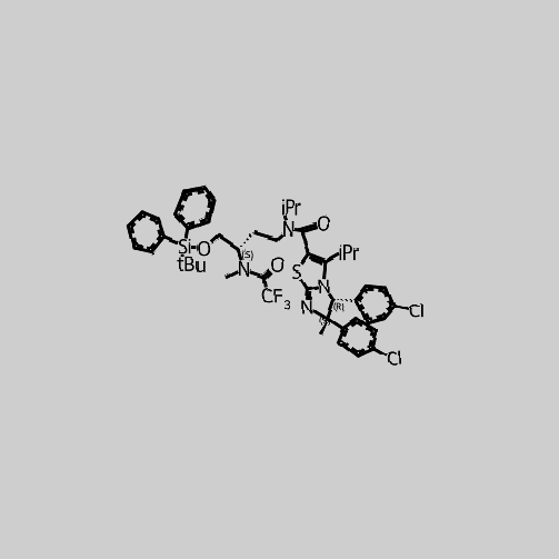 CC(C)C1=C(C(=O)N(CC[C@@H](CO[Si](c2ccccc2)(c2ccccc2)C(C)(C)C)N(C)C(=O)C(F)(F)F)C(C)C)SC2=N[C@@](C)(c3ccc(Cl)cc3)[C@@H](c3ccc(Cl)cc3)N21